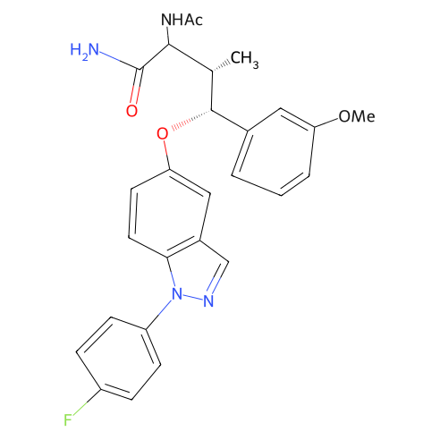 COc1cccc([C@H](Oc2ccc3c(cnn3-c3ccc(F)cc3)c2)[C@@H](C)C(NC(C)=O)C(N)=O)c1